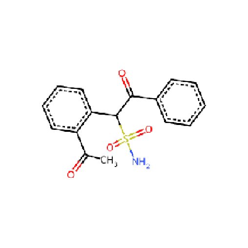 CC(=O)c1ccccc1C(C(=O)c1ccccc1)S(N)(=O)=O